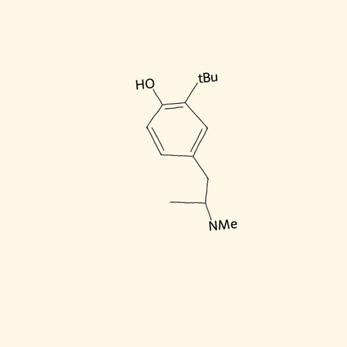 CNC(C)Cc1ccc(O)c(C(C)(C)C)c1